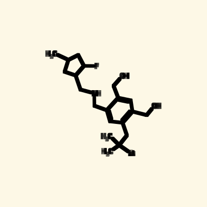 CCC(C)(C)Cc1cc(CNCC2CC(C)CC2F)c(CO)cc1CO